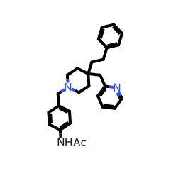 CC(=O)Nc1ccc(CN2CCC(CCc3ccccc3)(Cc3ccccn3)CC2)cc1